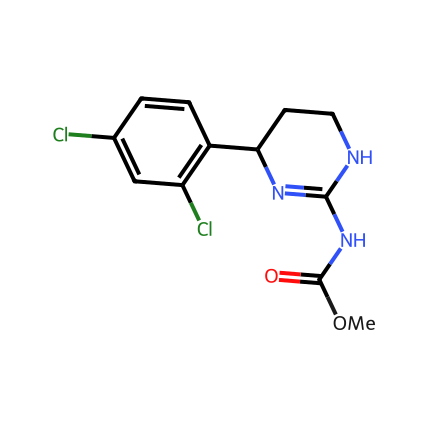 COC(=O)NC1=NC(c2ccc(Cl)cc2Cl)CCN1